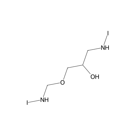 OC(CNI)COCNI